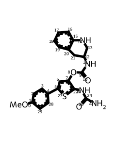 COc1ccc(-c2cc(OC(=O)NC3CNc4ccccc4C3)c(NC(N)=O)s2)cc1